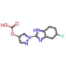 O=C(O)Oc1cnn(-c2nc3cc(F)ccc3[nH]2)c1